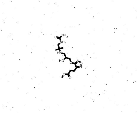 COC(=O)CCc1nsnc1OCC(O)CNC(C)(C)CNC(N)=O